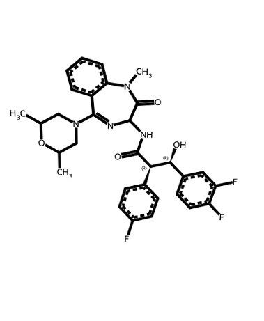 CC1CN(C2=NC(NC(=O)[C@H](c3ccc(F)cc3)[C@@H](O)c3ccc(F)c(F)c3)C(=O)N(C)c3ccccc32)CC(C)O1